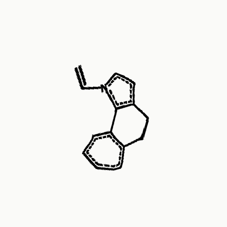 C=Cn1ccc2c1-c1ccccc1CC2